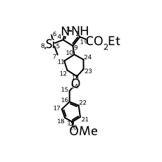 CCOC(=O)c1[nH]nc([Si](C)(C)C)c1C1CCC(OCc2ccc(OC)cc2)CC1